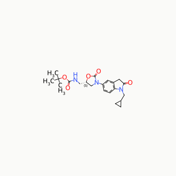 CC(C)(C)OC(=O)NC[C@H]1CN(c2ccc3c(c2)CC(=O)N3CC2CC2)C(=O)O1